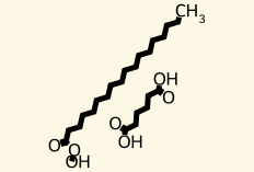 CCCCCCCCCCCCCCCCCC(=O)OO.O=C(O)CCCCC(=O)O